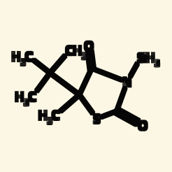 CC(C)(C)C1(C)SC(=O)N([SiH3])C1=O